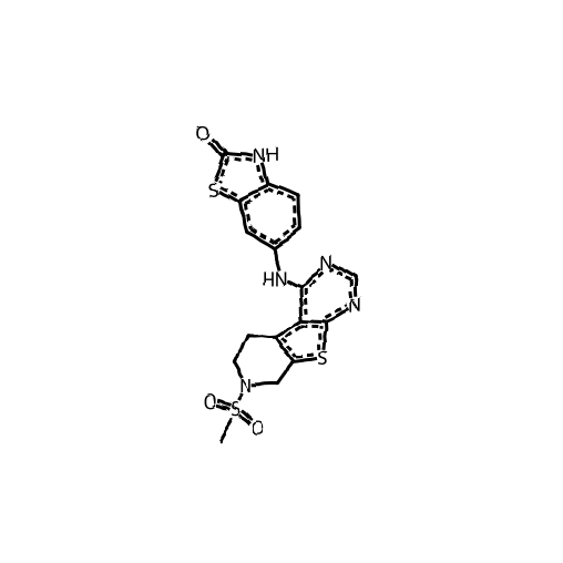 CS(=O)(=O)N1CCc2c(sc3ncnc(Nc4ccc5[nH]c(=O)sc5c4)c23)C1